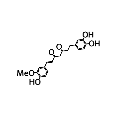 COc1cc(C=CC(=O)CC(=O)CCc2ccc(O)c(O)c2)ccc1O